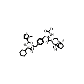 CCC(=O)N[C@H](Cc1ccc(CNC(=O)[C@@H](NC(=O)c2ccnn2C)C2CCCCC2)cc1)C(=O)N1CCN2[C@H]3CC[C@H](C3)[C@H]2C1